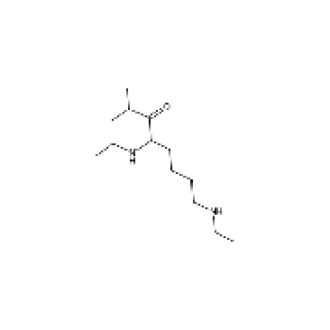 CCNCCCCC(NCC)C(=O)C(C)C